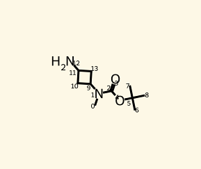 CN(C(=O)OC(C)(C)C)C1CC(N)C1